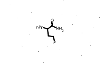 CCCC(CCF)C(N)=O